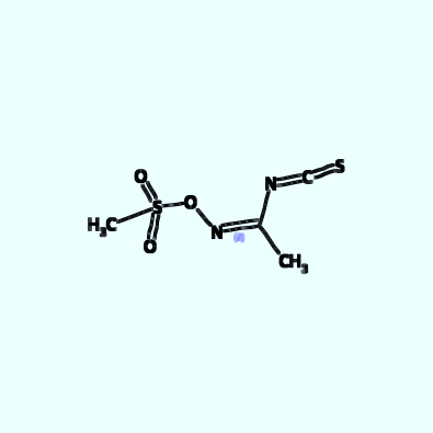 C/C(N=C=S)=N/OS(C)(=O)=O